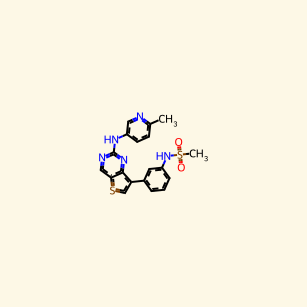 Cc1ccc(Nc2ncc3scc(-c4cccc(NS(C)(=O)=O)c4)c3n2)cn1